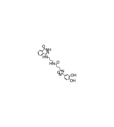 O=C(CCc1nc(-c2ccc(O)c(O)c2)no1)NCCCNc1n[nH]c(=O)c2ccccc12